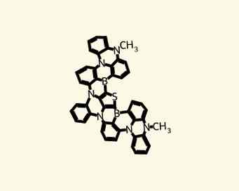 CN1c2ccccc2N2c3cccc4c3B(c3cccc1c32)c1sc2c3c1N4c1ccccc1N3c1cccc3c1B2c1cccc2c1N3c1ccccc1N2C